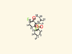 Cc1ccc(S(=O)(=O)C2(C)c3c(F)ccc(F)c3OCCC2C)cc1